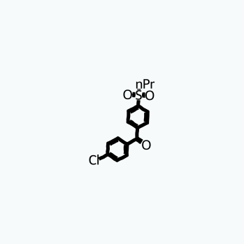 CCCS(=O)(=O)c1ccc(C(=O)c2ccc(Cl)cc2)cc1